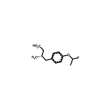 C[C@H](CC(=O)O)Cc1ccc(OC(F)F)cc1